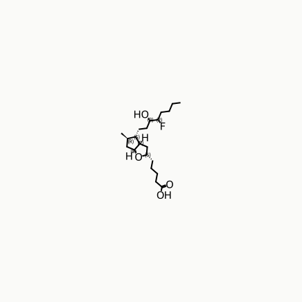 CCCC[C@@H](F)[C@H](O)CC[C@@H]1[C@H]2C[C@H](CCCCC(=O)O)O[C@H]2C[C@H]1C